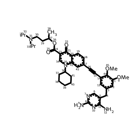 COc1cc(Cc2cnc(N)nc2N)cc(C#Cc2ccc3c(=O)c(C(=O)OC(C)CCN(C(C)C)C(C)C)cn(C4CCCCC4)c3c2)c1OC